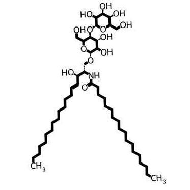 CCCCCCCCCCCCC/C=C/[C@@H](O)[C@H](CO[C@@H]1OC(CO)[C@@H](O[C@@H]2OC(CO)[C@H](O)[C@H](O)C2O)[C@H](O)C1O)NC(=O)CCCCCCCCCCCCCCCCC